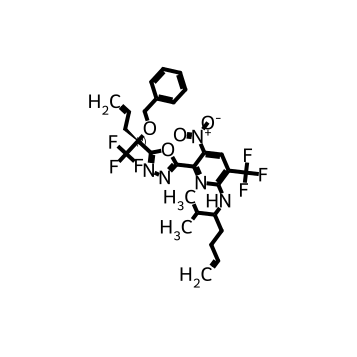 C=CCCC(Nc1nc(-c2nnc([C@@](CC=C)(OCc3ccccc3)C(F)(F)F)o2)c([N+](=O)[O-])cc1C(F)(F)F)C(C)C